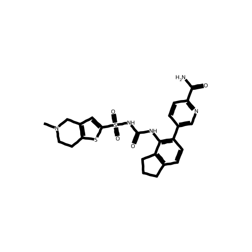 CN1CCc2sc(S(=O)(=O)NC(=O)Nc3c(-c4ccc(C(N)=O)nc4)ccc4c3CCC4)cc2C1